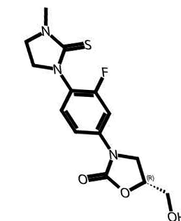 CN1CCN(c2ccc(N3C[C@H](CO)OC3=O)cc2F)C1=S